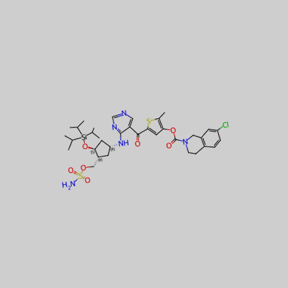 Cc1sc(C(=O)c2cncnc2N[C@@H]2C[C@H](COS(N)(=O)=O)[C@@H](O[Si](C(C)C)(C(C)C)C(C)C)C2)cc1OC(=O)N1CCc2ccc(Cl)cc2C1